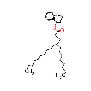 CCCCCCCCCCC(CCCCCCCC)CCC(=O)Oc1cccc2ccccc12